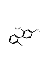 [CH2]c1ccccc1-c1ccc(C(F)(F)F)cc1OC